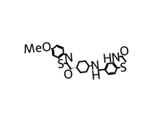 COc1ccc2nc(C(=O)[C@H]3CC[C@H](NCc4ccc5c(c4)NC(=O)CS5)CC3)sc2c1